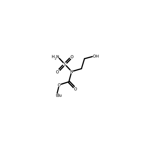 CC(C)(C)OC(=O)N(CCO)S(N)(=O)=O